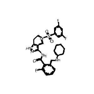 O=C(Nc1n[nH]c2c1CN(S(=O)(=O)c1cc(F)cc(F)c1)CC2)c1c(F)cccc1CNC1CCCCC1